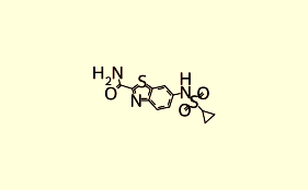 NC(=O)c1nc2ccc(NS(=O)(=O)C3CC3)cc2s1